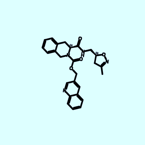 CC1=NO[C@H](CNC(=O)[C@@H]2Cc3ccccc3CN2C(=O)OCc2cnc3ccccc3c2)C1